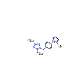 CCCCc1nc(CCCC)n(Cc2ccc(-n3cccc3C#N)cc2)n1